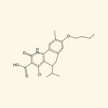 CCCCOc1cc2c(cc1C)-c1[nH]c(=O)c(C(=O)O)c(Cl)c1C(C(C)C)C2